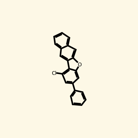 Clc1cc(-c2ccccc2)cc2oc3cc4ccccc4cc3c12